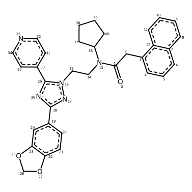 O=C(Cc1cccc2ccccc12)N(CCn1nc(-c2ccc3c(c2)OCO3)nc1-c1ccncc1)C1CCCC1